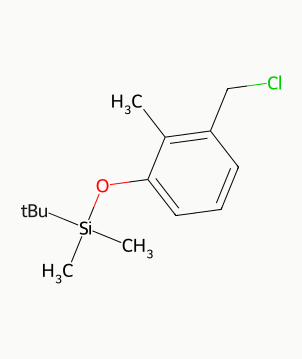 Cc1c(CCl)cccc1O[Si](C)(C)C(C)(C)C